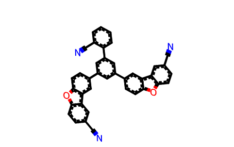 N#Cc1ccc2oc3ccc(-c4cc(-c5ccc6oc7ccc(C#N)cc7c6c5)cc(-c5ccccc5C#N)c4)cc3c2c1